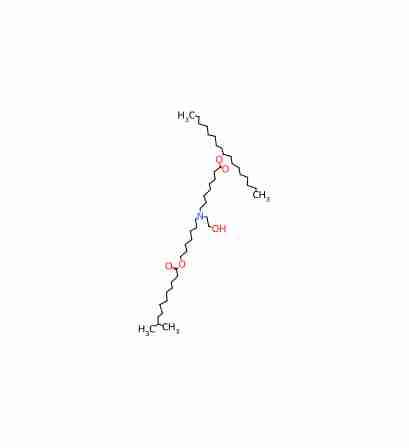 CCCCCCCCC(CCCCCCCC)OC(=O)CCCCCCCN(CCO)CCCCCCCOC(=O)CCCCCCCCC(C)C